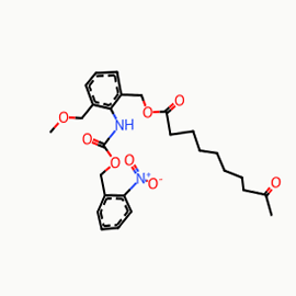 COCc1cccc(COC(=O)CCCCCCCC(C)=O)c1NC(=O)OCc1ccccc1[N+](=O)[O-]